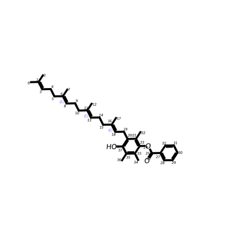 CC(C)=CCC/C(C)=C/CC/C(C)=C/CC/C(C)=C/Cc1c(C)c(OC(=O)c2ccccc2)c(C)c(C)c1O